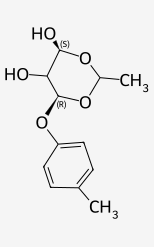 Cc1ccc(O[C@@H]2OC(C)O[C@H](O)C2O)cc1